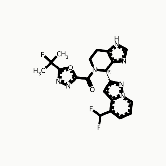 CC(C)(F)c1nnc(C(=O)N2CCc3[nH]cnc3[C@@H]2c2cc3c(C(F)F)cccn3n2)o1